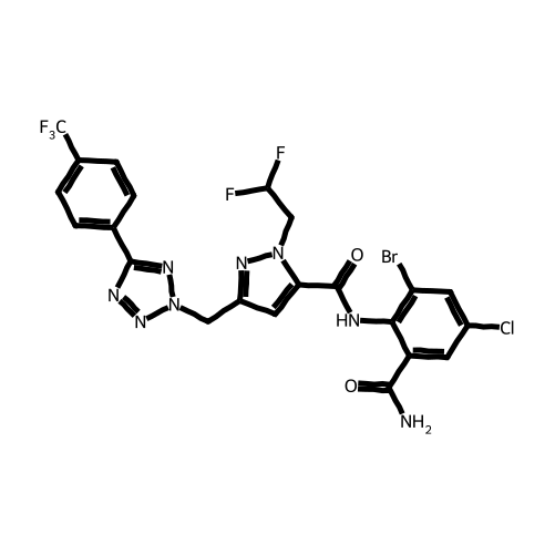 NC(=O)c1cc(Cl)cc(Br)c1NC(=O)c1cc(Cn2nnc(-c3ccc(C(F)(F)F)cc3)n2)nn1CC(F)F